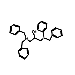 OC(CN(Cc1ccccc1)Cc1ccccc1)CN(Cc1ccccc1)c1ccccc1